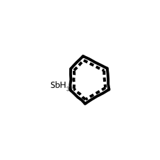 [SbH3].c1ccccc1